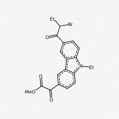 CCC(Br)C(=O)c1ccc2c(c1)c1cc(C(=O)C(=O)OC)ccc1n2CC